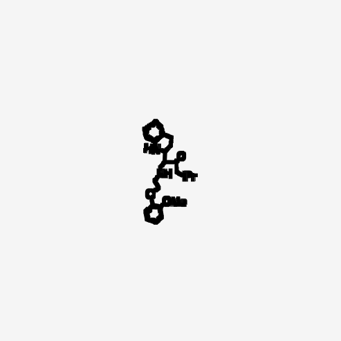 COc1ccccc1OCCNCC(C(=O)CC(C)C)C1CCc2ccccc2N1